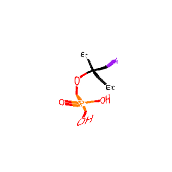 CCC(I)(CC)OP(=O)(O)O